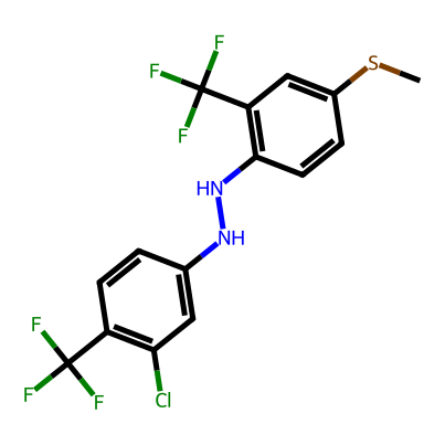 CSc1ccc(NNc2ccc(C(F)(F)F)c(Cl)c2)c(C(F)(F)F)c1